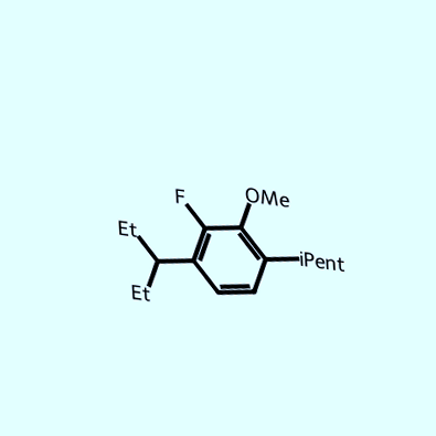 CCCC(C)c1ccc(C(CC)CC)c(F)c1OC